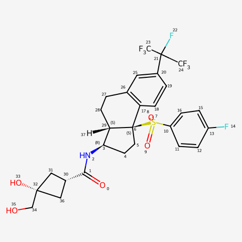 O=C(N[C@@H]1CC[C@@]2(S(=O)(=O)c3ccc(F)cc3)c3ccc(C(F)(C(F)(F)F)C(F)(F)F)cc3CC[C@@H]12)[C@H]1C[C@](O)(CO)C1